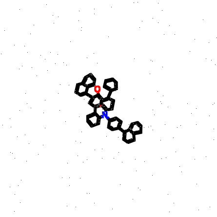 c1ccc(-c2ccc(N(c3ccc(-c4cccc5ccccc45)cc3)c3ccccc3-c3ccc4c(c3)-c3cccc5cccc(c35)O4)cc2)cc1